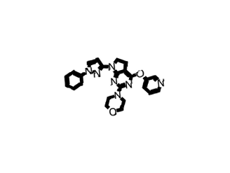 c1ccc(-n2ccc(N3CCc4c(Oc5cccnc5)nc(N5CCOCC5)nc43)n2)cc1